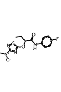 CCC(Oc1nc([S+](C)[O-])ns1)C(=O)Nc1ccc(F)cc1